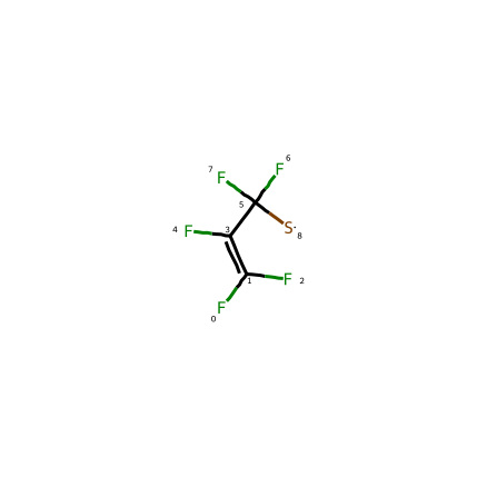 FC(F)=C(F)C(F)(F)[S]